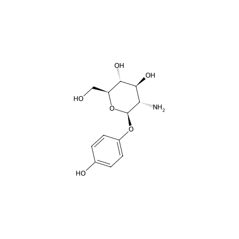 N[C@@H]1[C@@H](Oc2ccc(O)cc2)O[C@@H](CO)[C@H](O)[C@H]1O